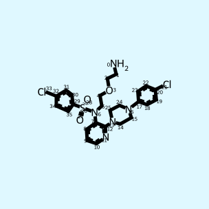 NCCOCCN(c1cccnc1N1CCN(c2ccc(Cl)cc2)CC1)S(=O)(=O)c1ccc(Cl)cc1